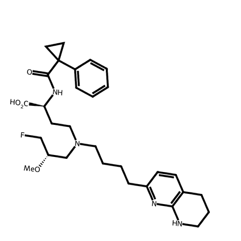 CO[C@H](CF)CN(CCCCc1ccc2c(n1)NCCC2)CC[C@H](NC(=O)C1(c2ccccc2)CC1)C(=O)O